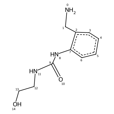 NCc1ccccc1NC(=O)NCCO